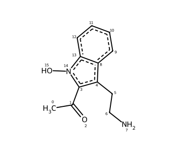 CC(=O)c1c(CCN)c2ccccc2n1O